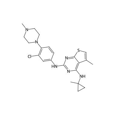 Cc1csc2nc(Nc3ccc(N4CCN(C)CC4)c(Cl)c3)nc(NC3(C)CC3)c12